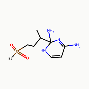 CCS(=O)(=O)CCC(C)C1(N)N=C(N)C=CN1